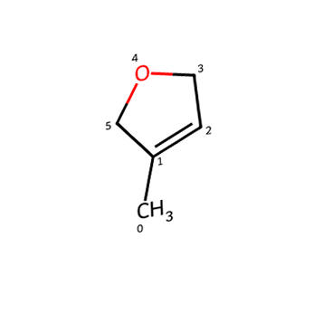 CC1=CCOC1